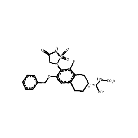 CCCC(NC(=O)O)[C@@H]1CCc2cc(OCc3ccccc3)c(N3CC(=O)NS3(=O)=O)c(F)c2C1